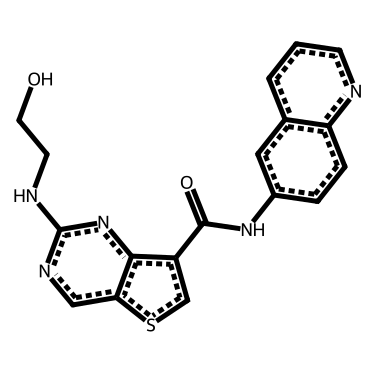 O=C(Nc1ccc2ncccc2c1)c1csc2cnc(NCCO)nc12